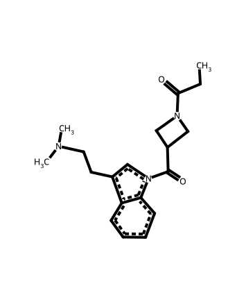 CCC(=O)N1CC(C(=O)n2cc(CCN(C)C)c3ccccc32)C1